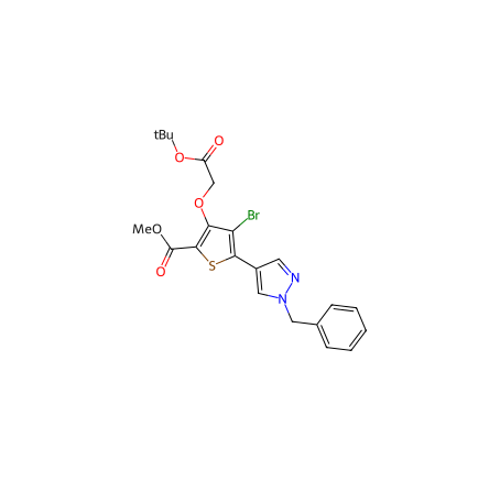 COC(=O)c1sc(-c2cnn(Cc3ccccc3)c2)c(Br)c1OCC(=O)OC(C)(C)C